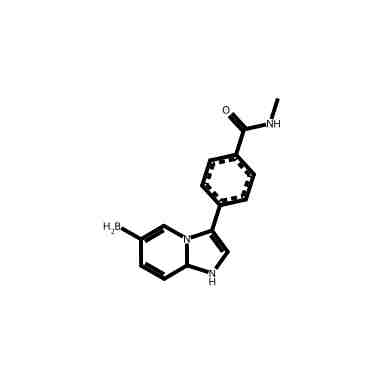 BC1=CN2C(c3ccc(C(=O)NC)cc3)=CNC2C=C1